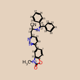 Cn1c(=O)oc2ccc(-c3ccc(CC(C#N)N=C(c4ccccc4)c4ccccc4)nn3)cc21